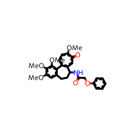 COc1cc2c(c(OC)c1OC)-c1ccc(OC)c(=O)cc1C(NC(=O)COc1ccccc1)CC2